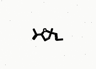 C=C(C)C1CCC(C)(C=CC)O1